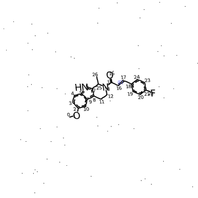 COc1ccc2[nH]c3c(c2c1)CCN(C(=O)/C=C/c1ccc(F)cc1)C3C